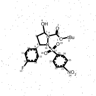 CC(C)(C)OC(=O)N1C(O)C[C@@H](c2ccc(F)cc2)N1S(=O)(=O)c1ccc([N+](=O)[O-])cc1